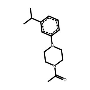 CC(=O)N1CCN(c2cccc(C(C)C)c2)CC1